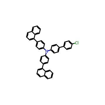 Clc1ccc(-c2ccc(N(c3ccc(-c4cccc5ccccc45)cc3)c3ccc(-c4cccc5ccccc45)cc3)cc2)cc1